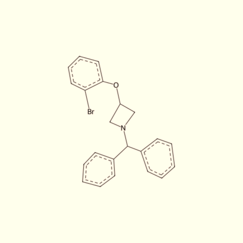 Brc1ccccc1OC1CN(C(c2ccccc2)c2ccccc2)C1